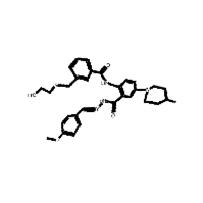 COc1ccc(C=NNC(=O)c2cc(N3CCC(C)CC3)ccc2NC(=O)c2cccc(CSCCO)c2)cc1